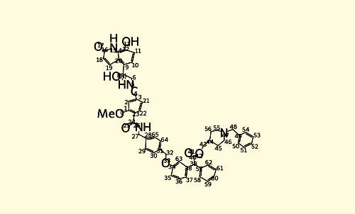 COc1cc(CNC[C@H](O)c2ccc(O)c3[nH]c(=O)ccc23)ccc1C(=O)NCc1ccc(COc2cccc(C(C(=O)OCC3CCN(Cc4ccccc4)CC3)c3ccccc3)c2)cc1